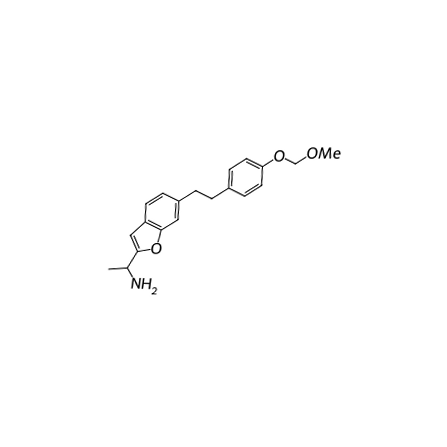 COCOc1ccc(CCc2ccc3cc(C(C)N)oc3c2)cc1